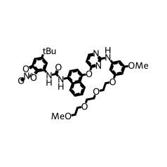 COCCOCCOCCOc1cc(Nc2nccc(Oc3ccc(NC(=O)Nc4cc(C(C)(C)C)cc5o[n+](=O)oc45)c4ccccc34)n2)cc(OC)c1